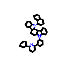 c1ccc(-c2cccc(-c3cccc(-n4c5ccccc5c5c4ccc4c6ccccc6n(-c6cccc7ccccc67)c45)c3)n2)cc1